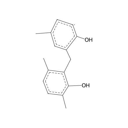 Cc1c[c]c(O)c(Cc2c(C)ccc(C)c2O)c1